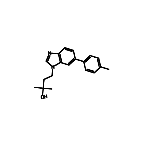 Cc1ccc(-c2ccc3ncn(CCC(C)(C)O)c3c2)cc1